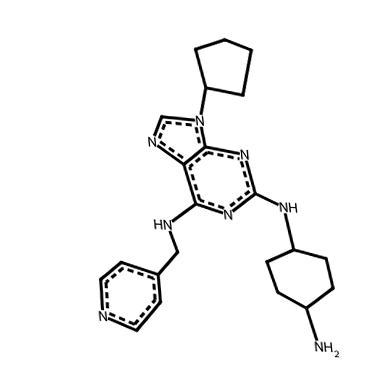 NC1CCC(Nc2nc(NCc3ccncc3)c3ncn(C4CCCC4)c3n2)CC1